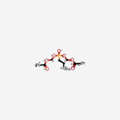 CC(C)C(=O)OCOP(=O)(CCC(C)(C)C)OCOC(=O)C(C)C